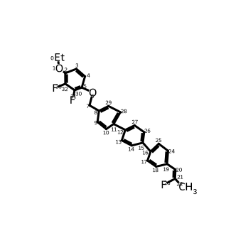 CCOc1ccc(OCc2ccc(-c3ccc(-c4ccc(/C=C(/C)F)cc4)cc3)cc2)c(F)c1F